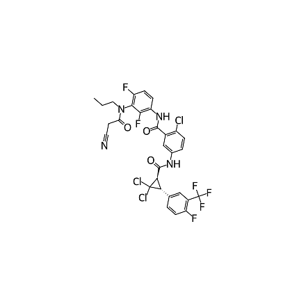 CCCN(C(=O)CC#N)c1c(F)ccc(NC(=O)c2cc(NC(=O)[C@H]3[C@H](c4ccc(F)c(C(F)(F)F)c4)C3(Cl)Cl)ccc2Cl)c1F